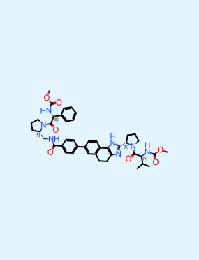 COC(=O)N[C@H](C(=O)N1CCC[C@H]1c1nc2c([nH]1)-c1ccc(-c3ccc(C(=O)NC[C@@H]4CCCN4C(=O)[C@H](NC(=O)OC)c4ccccc4)cc3)cc1CC2)C(C)C